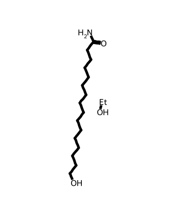 CCO.NC(=O)CCCCCCCCCCCCCCCO